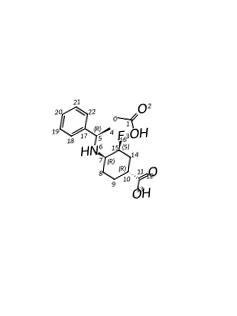 CC(=O)O.C[C@@H](N[C@@H]1CC[C@@H](C(=O)O)C[C@@H]1F)c1ccccc1